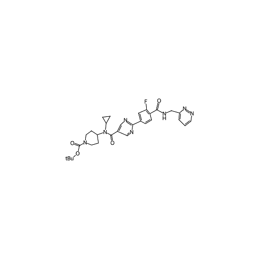 CC(C)(C)OC(=O)N1CCC(N(C(=O)c2cnc(-c3ccc(C(=O)NCc4cccnn4)c(F)c3)nc2)C2CC2)CC1